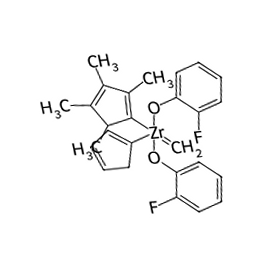 [CH2]=[Zr]([O]c1ccccc1F)([O]c1ccccc1F)([C]1=CC=CC1)[C]1=C(C)C(C)=C(C)C1C